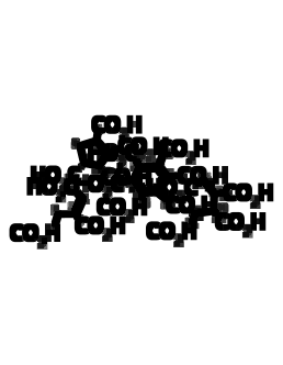 O=C(O)/C=C(\CC(=O)O)C(=O)O.O=C(O)C1C[C@@H](C(=O)O)[C@@H](C(=O)O)C1C(=O)O.O=C(O)CC(C(=O)O)C(CC(=O)O)C(=O)O.O=C(O)c1c(C(=O)O)c(C(=O)O)c(C(=O)O)c(C(=O)O)c1C(=O)O